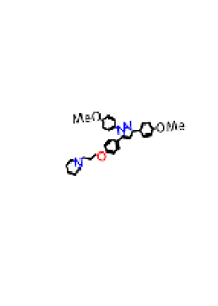 COc1ccc(-c2cc(-c3ccc(OCCCN4CCCCC4)cc3)n(-c3ccc(OC)cc3)n2)cc1